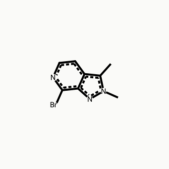 Cc1c2ccnc(Br)c2nn1C